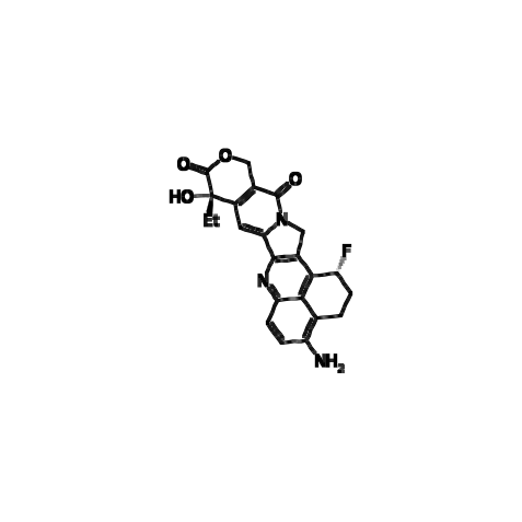 CC[C@@]1(O)C(=O)OCc2c1cc1n(c2=O)Cc2c-1nc1ccc(N)c3c1c2[C@H](F)CC3